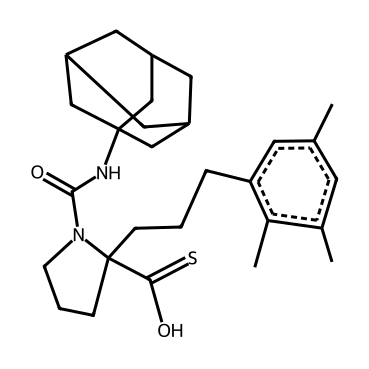 Cc1cc(C)c(C)c(CCCC2(C(O)=S)CCCN2C(=O)NC23CC4CC(CC(C4)C2)C3)c1